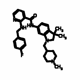 CN1CCC(CN2CC(C)(C)c3ccc(NC(=O)c4cccnc4NCc4ccc(F)cc4)cc32)CC1